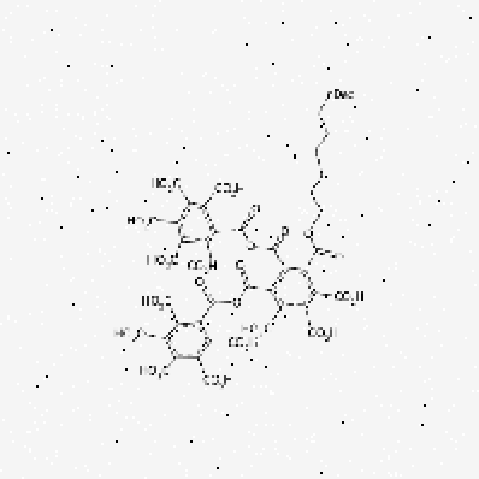 CCCCCCCCCCCCCCCCOC(=O)c1c(C(=O)O)c(C(=O)O)c(C(=O)O)c(C(=O)OC(=O)c2c(C(=O)O)c(C(=O)O)c(C(=O)O)c(C(=O)O)c2C(=O)O)c1C(=O)OC(=O)c1c(C(=O)O)c(C(=O)O)c(C(=O)O)c(C(=O)O)c1C(=O)O